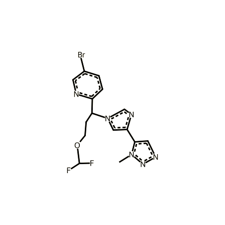 Cn1nncc1-c1cn(C(CCOC(F)F)c2ccc(Br)cn2)cn1